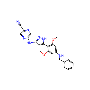 COc1cc(NCc2ccccc2)cc(OC)c1-c1cc(Nc2cnc(C#N)cn2)n[nH]1